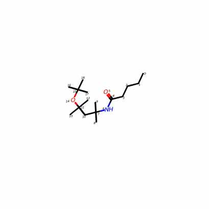 CCCCC(=O)NC(C)(C)CC(C)(C)OC(C)(C)C